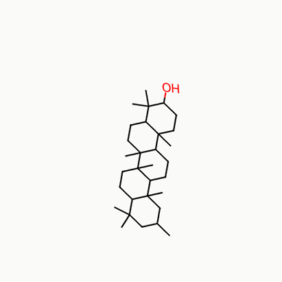 CC1CC(C)(C)C2CCC3(C)C(CCC4C5(C)CCC(O)C(C)(C)C5CCC43C)C2(C)C1